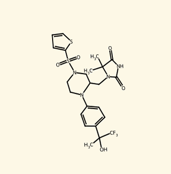 CC1(C)C(=O)NC(=O)N1CC1CN(S(=O)(=O)c2cccs2)CCN1c1ccc(C(C)(O)C(F)(F)F)cc1